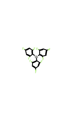 Fc1cc(F)[c]([Sb]([c]2c(F)cc(F)cc2F)[c]2c(F)cc(F)cc2F)c(F)c1